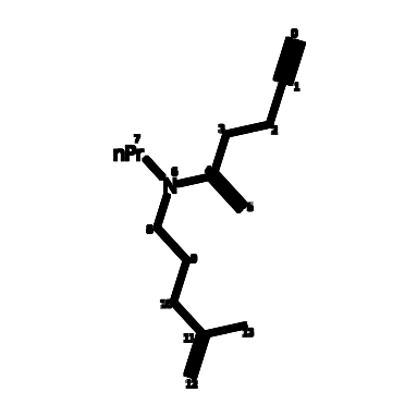 C#CCCC(=C)N(CCC)CCCC(=C)C